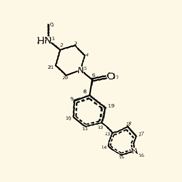 CNC1CCN(C(=O)c2cccc(-c3ccncc3)c2)CC1